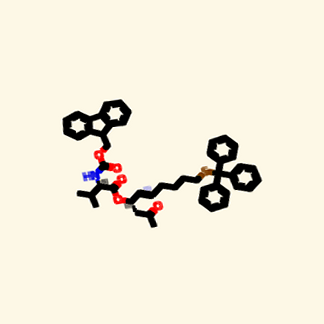 CC(=O)C[C@@H](/C=C/CCCCSC(c1ccccc1)(c1ccccc1)c1ccccc1)OC(=O)[C@@H](NC(=O)OCC1c2ccccc2-c2ccccc21)C(C)C